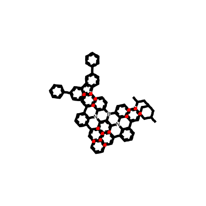 CC1CC2CC(C)N(c3ccc4c(c3)N(c3c(-c5ccccc5)cccc3-c3ccccc3)c3cc(-c5ccccc5)cc5c3B4c3ccc(-n4c6ccc(-c7ccccc7)cc6c6cc(-c7ccccc7)ccc64)cc3N5c3c(-c4ccccc4)cccc3-c3ccccc3)C(C1)C2